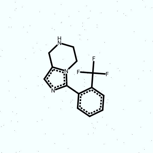 FC(F)(F)c1ccccc1-c1ncc2n1CCNC2